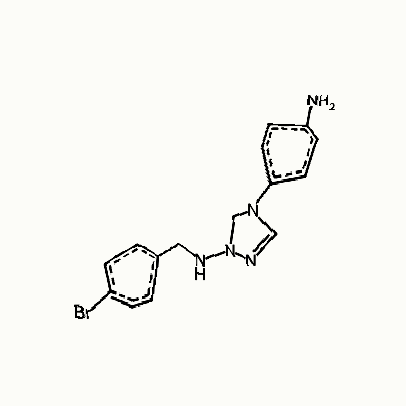 Nc1ccc(N2C=NN(NCc3ccc(Br)cc3)C2)cc1